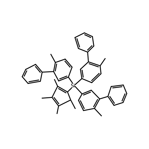 CC1=C(C)C(C)C([Si](c2ccc(C)c(-c3ccccc3)c2)(c2ccc(C)c(-c3ccccc3)c2)c2ccc(C)c(-c3ccccc3)c2)=C1C